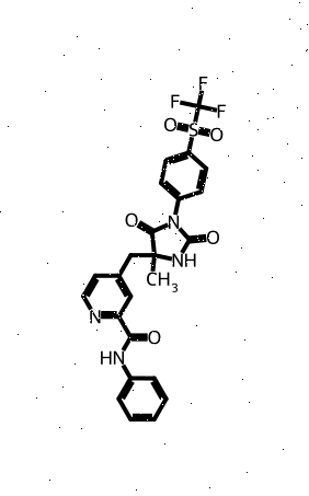 CC1(Cc2ccnc(C(=O)Nc3ccccc3)c2)NC(=O)N(c2ccc(S(=O)(=O)C(F)(F)F)cc2)C1=O